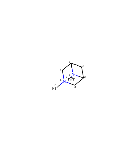 CCCN1C2CC1CN(CC)C2